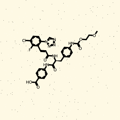 COCCOC(=O)Nc1ccc(C[C@H](NC(=O)/C=C/c2c(-n3cnnn3)ccc(Cl)c2F)C(=O)Nc2ccc(C(=O)O)cc2)cc1